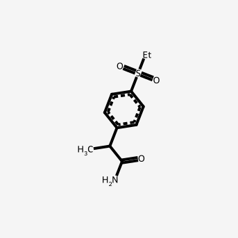 CCS(=O)(=O)c1ccc(C(C)C(N)=O)cc1